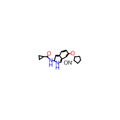 O=N[C@H]1CCC[C@H]1Oc1ccc2c(c1)=CNC(NC(=O)C1CC1)C=2